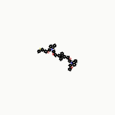 c1ccc(C2(c3ccc(-c4ccc5oc6cc(N(c7ccc8c(c7)oc7ccc(-c9ccc%10sc%11ccccc%11c%10c9)cc78)c7cc8ccccc8c8ccccc78)ccc6c5c4)cc3)c3ccccc3-c3cc(-c4ccc5oc6cc(N(c7ccc8c(c7)oc7ccccc78)c7cc8ccccc8c8ccccc78)ccc6c5c4)ccc32)cc1